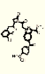 NC(=O)c1nn(CC(=O)N2C(=O)CC2C(=O)Cc2cccc(Cl)c2F)c2ccc(C(=O)N3CCC(B(O)O)CC3)cc12